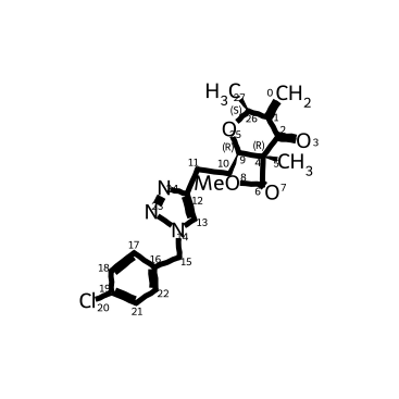 C=C1C(=O)[C@](C)(C(=O)OC)[C@@H](CCc2cn(Cc3ccc(Cl)cc3)nn2)O[C@H]1C